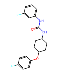 O=C(Nc1cccc(F)c1)NC1CCC(Oc2ccc(F)cc2)CC1